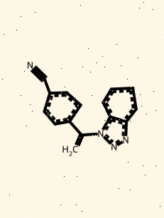 C=C(c1ccc(C#N)cc1)n1nnc2ccccc21